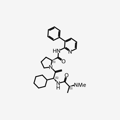 C=C([C@@H](NC(=O)[C@H](C)NC)C1CCCCC1)N1CCC[C@H]1C(=O)Nc1ncccc1-c1ccccc1